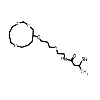 CC(S)CC(=O)NCCSCCCOC1CCCCCCCCCCCC1